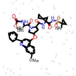 CCCC1(S(=O)(=O)NC(=O)C2(NC(=O)C3CC(Oc4cc(-c5ccccc5)nc5cc(OC)ccc45)CN3C(=O)C(NC(=O)OC(C)(C)C)C(C)(C)C)CC23CC3)CC1